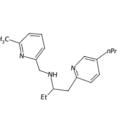 CCCc1ccc(CC(CC)NCc2cccc(C)n2)nc1